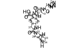 CC(NC(=O)Cn1cnnn1)[C@H]1C(=O)N2C(C(=O)O)=C(S[C@@H]3CN[C@H](C(=O)N4CC5C(C4)[C@H]4CCNC54)C3)[C@H](C)[C@H]12